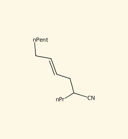 CCCCCC/C=C/CC(C#N)CCC